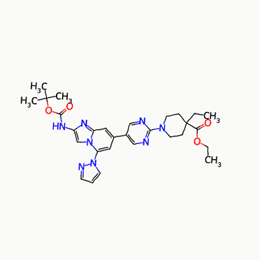 CCOC(=O)C1(CC)CCN(c2ncc(-c3cc(-n4cccn4)n4cc(NC(=O)OC(C)(C)C)nc4c3)cn2)CC1